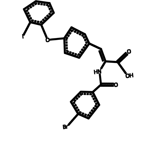 O=C(O)C(=Cc1ccc(Oc2ccccc2I)cc1)NC(=O)c1ccc(Br)cc1